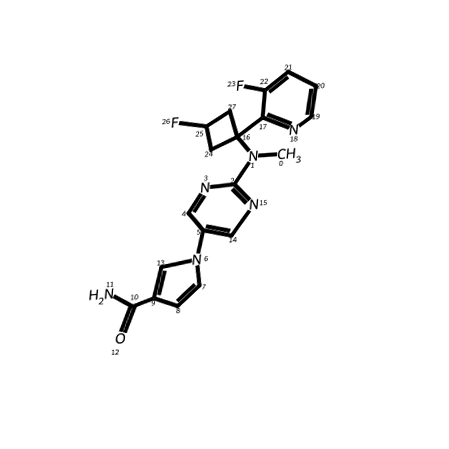 CN(c1ncc(-n2ccc(C(N)=O)c2)cn1)C1(c2ncccc2F)CC(F)C1